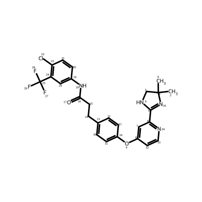 CC1(C)CNC(c2cc(Oc3ccc(CCC(=O)Nc4ccc(Cl)c(C(F)(F)F)c4)cc3)ccn2)=N1